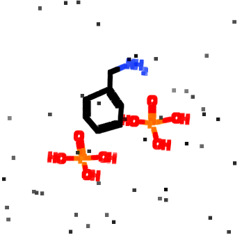 NCc1ccccc1.O=P(O)(O)O.O=P(O)(O)O